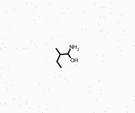 CCC(C)C(N)O